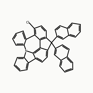 Clc1ccc2c3c1-c1ccccc1-n1c4ccccc4c4ccc(c-3c41)C2(c1ccc2ccccc2c1)c1ccc2ccccc2c1